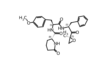 COc1ccc(C[C@H](NC(=O)[C@H]2CCCC(=O)N2)C(=O)N[C@@H](Cc2ccccc2)C(=O)[C@]2(C)CO2)cc1